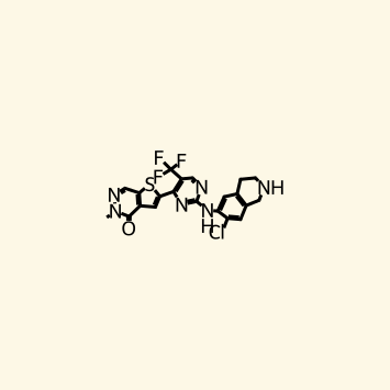 Cn1ncc2sc(-c3nc(Nc4cc5c(cc4Cl)CNCC5)ncc3C(F)(F)F)cc2c1=O